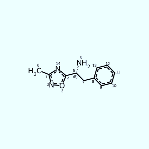 Cc1noc([C@H](N)Cc2ccccc2)n1